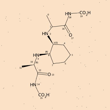 CC(N[C@H]1CCCC[C@H]1N[C@H](C)C(=O)NC(=O)O)C(=O)NC(=O)O